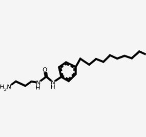 CCCCCCCCCCc1ccc(NC(=O)NCCCN)cc1